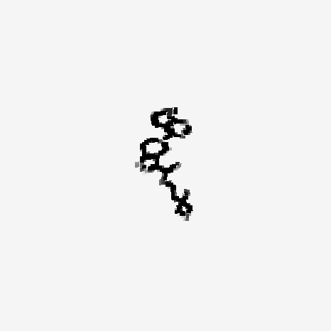 O=C(NCCC1(F)COC1)c1noc2c1CN(c1ncnc3[nH]ccc13)CC2